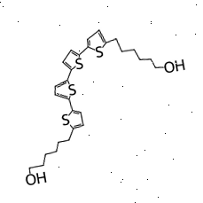 OCCCCCCc1ccc(-c2ccc(-c3ccc(-c4ccc(CCCCCCO)s4)s3)s2)s1